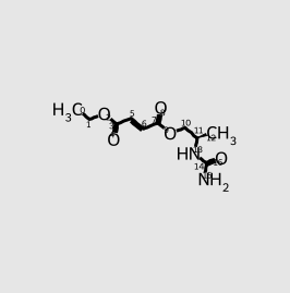 CCOC(=O)/C=C/C(=O)OC[C@@H](C)NC(N)=O